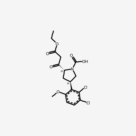 CCOC(=O)CC(=O)[C@H]1C[C@H](c2c(OC)ccc(Cl)c2Cl)CN1C(=O)O